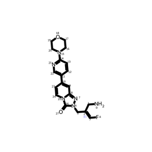 NC/C(=C\F)Cn1nc2cc(-c3ccc(N4CCOCC4)nc3)ccn2c1=O